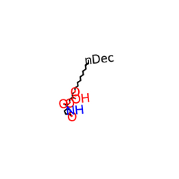 CCCCCCCCCCC=CCCCCCCCCOCC(O)COC(=O)[C@@H]1CCC(=O)N1